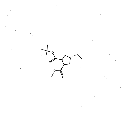 COC(=O)[C@@H]1C[C@@H](CI)CN1C(=O)OC(C)(C)C